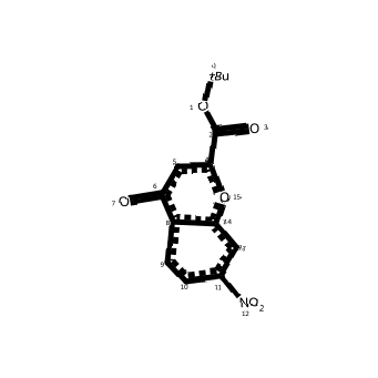 CC(C)(C)OC(=O)c1cc(=O)c2ccc([N+](=O)[O-])cc2o1